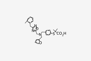 Cc1ccccc1Cc1noc(CN(Cc2ccc(SC(C)(C)C(=O)O)cc2)Cc2ccco2)n1